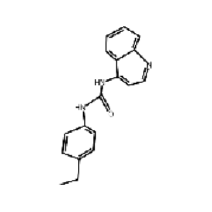 CCc1ccc(NC(=O)Nc2ccnc3ccccc23)cc1